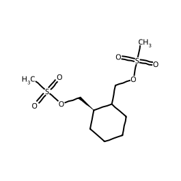 CS(=O)(=O)OCC1CCCC[C@H]1COS(C)(=O)=O